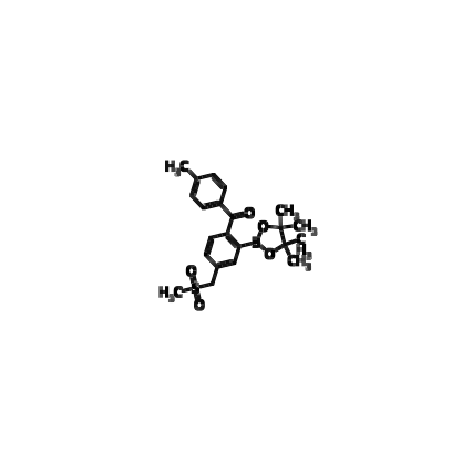 Cc1ccc(C(=O)c2ccc(CS(C)(=O)=O)cc2B2OC(C)(C)C(C)(C)O2)cc1